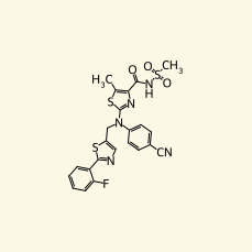 Cc1sc(N(Cc2cnc(-c3ccccc3F)s2)c2ccc(C#N)cc2)nc1C(=O)NS(C)(=O)=O